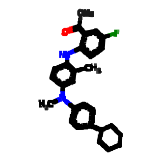 COC(=O)c1cc(F)ccc1Nc1ccc(N(C)c2ccc(C3CCCCC3)cc2)cc1C